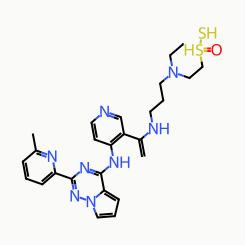 C=C(NCCCN1CC[SH](=O)(S)CC1)c1cnccc1Nc1nc(-c2cccc(C)n2)nn2cccc12